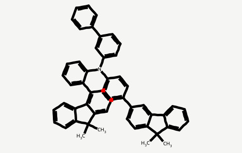 CC1(C)c2ccccc2-c2cc(-c3ccc(N(c4cccc(-c5ccccc5)c4)c4ccccc4-c4cccc5c4-c4ccccc4C5(C)C)cc3)ccc21